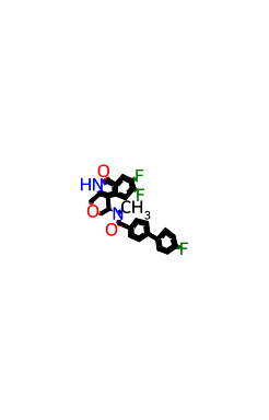 CN(C(=O)c1ccc(-c2ccc(F)cc2)cc1)[C@@H]1COCc2[nH]c(=O)c3cc(F)c(F)cc3c21